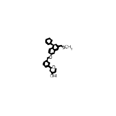 CSCc1cc(-c2ccccc2)c2ccc(OCc3cccc(C4CC(O)CCO4)c3)cc2c1